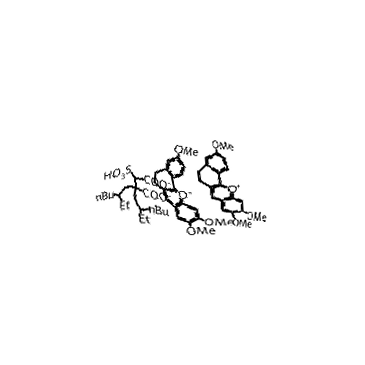 CCCCC(CC)CC(CC(CC)CCCC)(C(=O)[O-])C(C(=O)[O-])S(=O)(=O)O.COc1ccc2c(c1)CCc1cc3cc(OC)c(OC)cc3[o+]c1-2.COc1ccc2c(c1)CCc1cc3cc(OC)c(OC)cc3[o+]c1-2